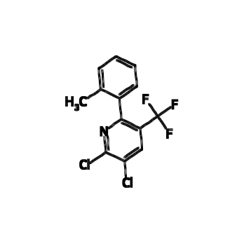 Cc1ccccc1-c1nc(Cl)c(Cl)cc1C(F)(F)F